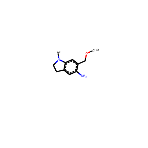 CC(=O)N1CCc2cc(N)c(COC=O)cc21